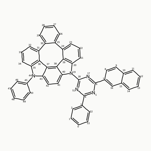 c1ccc(-c2nc(-c3ccc4ccccc4c3)nc(-n3c4cccc5c6ccccc6c6cccc7c6c6c(c54)c3ccc6n7-c3ccccc3)n2)cc1